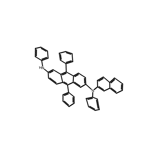 c1ccc(Nc2ccc3c(-c4ccccc4)c4cc(N(c5ccccc5)c5ccc6ccccc6c5)ccc4c(-c4ccccc4)c3c2)cc1